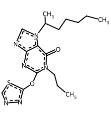 CCCCCC(C)n1cnc2nc(Oc3nncs3)n(CCC)c(=O)c21